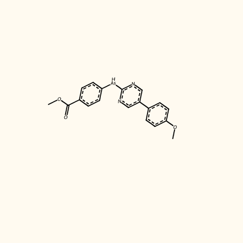 COC(=O)c1ccc([AsH]c2ncc(-c3ccc(OC)cc3)cn2)cc1